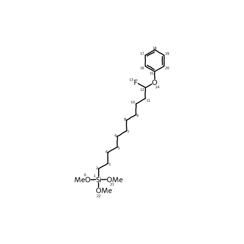 CO[Si](CCCCCCCCCCC(F)Oc1ccccc1)(OC)OC